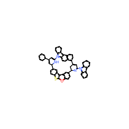 C1=C(c2ccccc2)C=C(n2c3ccccc3c3ccccc32)NC1c1ccc2sc3oc4ccc(C5CC(c6ccccc6)=CC(n6c7ccccc7c7ccccc76)=N5)cc4c3c2c1